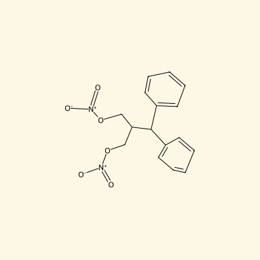 O=[N+]([O-])OCC(CO[N+](=O)[O-])C(c1ccccc1)c1ccccc1